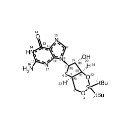 CC(C)(C)[Si]1(C(C)(C)C)OC[C@H]2S[C@@H](n3cnc4c(=O)[nH]c(N)nc43)[C@H](O)[C@H]2O1